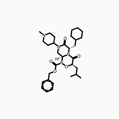 CC(C)C[C@H]1ON(C(=O)OCc2ccccc2)[C@H]2CN(C3CCN(C)CC3)C(=O)[C@H](CC3CCCCC3)N2C1=O